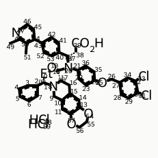 CC[C@@H](c1ccccc1)N1Cc2cc3c(cc2C[C@H]1C(=O)N(c1ccc(OCc2ccc(Cl)c(Cl)c2)cc1)[C@@H](CC(=O)O)c1ccc(-c2ccnc(C)c2C)cc1)OCCO3.Cl.Cl